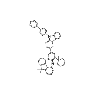 CC1(C)C2=C(CCC=C2)c2c(N3C4=CC=CCC4(C)c4cc(C5=CC=C6C(C5)c5ccccc5N6c5ccc(-c6ccccc6)cc5)ccc43)cccc21